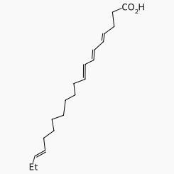 CC/C=C/CCCCCCC/C=C/C=C/C=C/CCC(=O)O